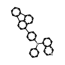 c1ccc(N(c2ccc(-c3ccc4c5c(cccc35)-c3ccccc3-4)cc2)c2cccc3cnccc23)cc1